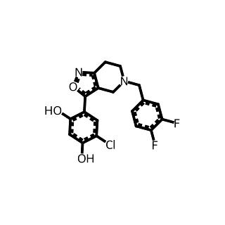 Oc1cc(O)c(-c2onc3c2CN(Cc2ccc(F)c(F)c2)CC3)cc1Cl